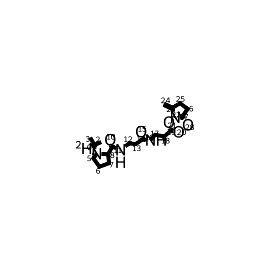 [2H]C(C)(C)N1CCCC1C(=O)NCCC(=O)NCCC(=O)ON1C(=C)CCC1=O